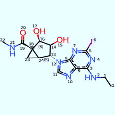 CCNc1nc(I)nc2c1ncn2[C@H]1C(O)[C@H](O)[C@@]2(C(=O)NC)CC12